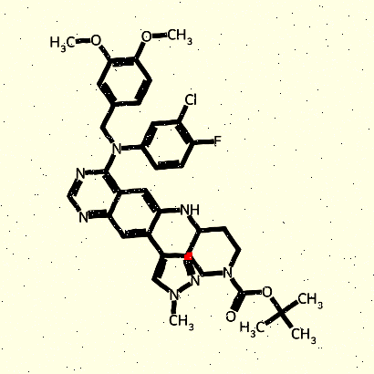 COc1ccc(CN(c2ccc(F)c(Cl)c2)c2ncnc3cc(-c4cnn(C)c4)c(NC4CCN(C(=O)OC(C)(C)C)CC4)cc23)cc1OC